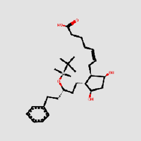 CC(C)(C)[Si](C)(C)O[C@@H](CCc1ccccc1)CC[C@@H]1[C@@H](C/C=C\CCCC(=O)O)[C@@H](O)C[C@H]1O